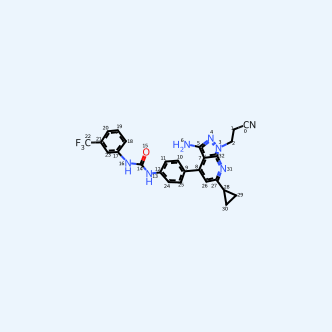 N#CCCn1nc(N)c2c(-c3ccc(NC(=O)Nc4cccc(C(F)(F)F)c4)cc3)cc(C3CC3)nc21